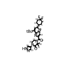 CC(C)(C)c1cc(C2CCC(F)(F)CC2)nn2cc(C(=O)N3CCN(c4cn[nH]c4)C(=O)C3(C)C)nc12